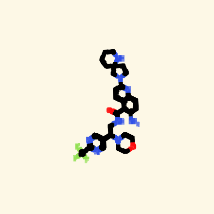 Nc1ccc2nc(N3CCC4(CCCCN4)C3)ccc2c1C(=O)NCC(c1cnc(C(F)(F)F)nc1)N1CCOCC1